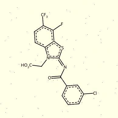 O=C(O)Cn1c(=NC(=O)c2cccc(Cl)c2)sc2c(F)c(C(F)(F)F)ccc21